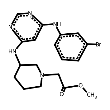 COC(=O)CN1CCCC(Nc2cc(Nc3cccc(Br)c3)ncn2)C1